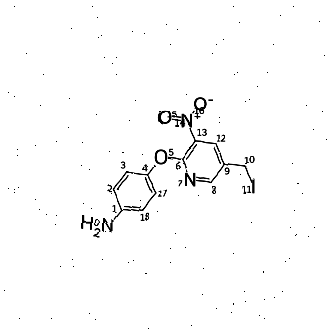 Nc1ccc(Oc2ncc(CI)cc2[N+](=O)[O-])cc1